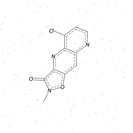 Cn1oc2cc3nccc(Cl)c3nc2c1=O